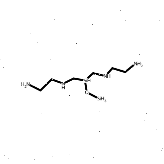 NCCNC[SiH](CNCCN)O[SiH3]